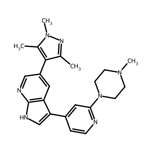 Cc1nn(C)c(C)c1-c1cnc2[nH]cc(-c3ccnc(N4CCN(C)CC4)c3)c2c1